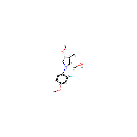 COc1ccc(N2C[C@H](OC)[C@@H](C)[C@@H]2CO)c(F)c1